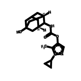 O=C(NC1[C@@H]2CC3C[C@H]1CC(O)(C3)C2)Oc1cnn(C2CC2)c1C(F)(F)F